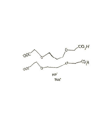 O=C([O-])COCCOCC(=O)O.O=C([O-])COCCOCC(=O)O.[Na+].[Na+]